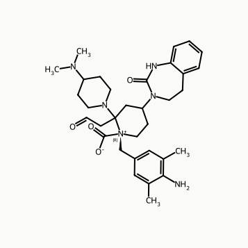 Cc1cc(C[N@+]2(C(=O)[O-])CCC(N3CCc4ccccc4NC3=O)CC2(CC=O)N2CCC(N(C)C)CC2)cc(C)c1N